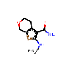 CCOC(=O)Nc1sc2c(c1C(N)=O)CCOC2